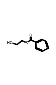 O=C(SCCO)c1ccccc1